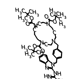 CC(C)(C)OC(=O)N1CCCN(C(=O)OC(C)(C)C)CCN(C(=O)OC(C)(C)C)CCCN(Cc2ccc(Cn3c(NC(=N)N)nc4ccccc43)cc2)CC1